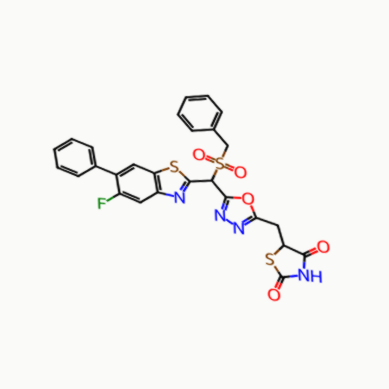 O=C1NC(=O)C(Cc2nnc(C(c3nc4cc(F)c(-c5ccccc5)cc4s3)S(=O)(=O)Cc3ccccc3)o2)S1